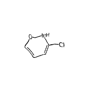 Cl[C]1=CC=C[O][InH]1